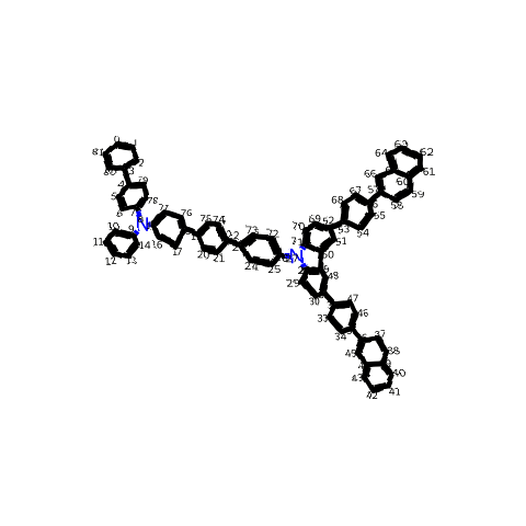 c1ccc(-c2ccc(N(c3ccccc3)c3ccc(-c4ccc(-c5ccc(-n6c7ccc(-c8ccc(-c9ccc%10ccccc%10c9)cc8)cc7c7cc(-c8ccc(-c9ccc%10ccccc%10c9)cc8)ccc76)cc5)cc4)cc3)cc2)cc1